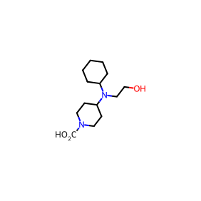 O=C(O)N1CCC(N(CCO)C2CCCCC2)CC1